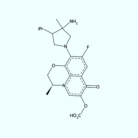 CC(C)C1CN(c2c(F)cc3c(=O)c(OC(=O)O)cn4c3c2OC[C@@H]4C)CC1(C)N